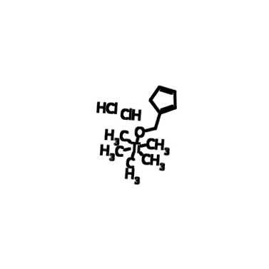 Cl.Cl.[CH3][Ti]([CH3])([CH3])([CH3])([CH3])[O]CC1=CC=CC1